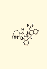 O=C1NCCCCCC1Nc1nc2ccccc2c2nc(-c3ccccc3OC(F)F)nn12